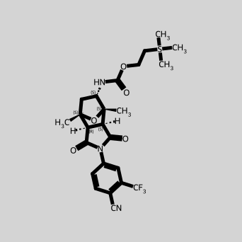 C[C@@]12O[C@@](C)(C[C@@H]1NC(=O)OCCS(C)(C)C)[C@@H]1C(=O)N(c3ccc(C#N)c(C(F)(F)F)c3)C(=O)[C@@H]12